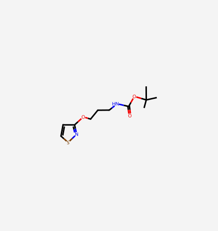 CC(C)(C)OC(=O)NCCCOc1ccsn1